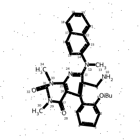 CC(C)COc1ccccc1-c1c(CN)c(N(C)c2ccc3ccccc3c2)nc2c1c(=O)n(C)c(=O)n2C